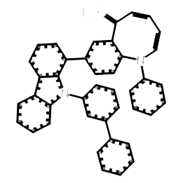 C=C1/C=C\C=C/N(c2ccccc2)c2ccc(-c3cccc4c5ccccc5n(-c5cccc(-c6ccccc6)c5)c34)cc21